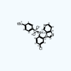 CC(C)(C)c1ccc(S(=O)(=O)Nc2ccc(Cl)cc2-n2cnc3ccncc32)cc1